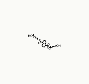 CC(C)(O)CCCCOC(=O)C1CCCC2C(C(=O)OC(C)(C)CCCCO)CCCC12